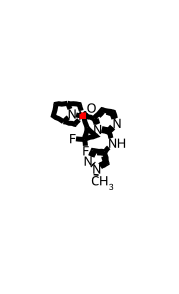 Cn1cc(Nc2nccc(N3CC4CCC(C3)N4C(=O)C3CC3(F)F)n2)cn1